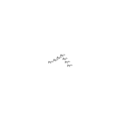 [As-3].[As-3].[As-3].[As-3].[Pt+4].[Pt+4].[Pt+4]